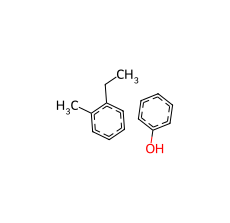 CCc1ccccc1C.Oc1ccccc1